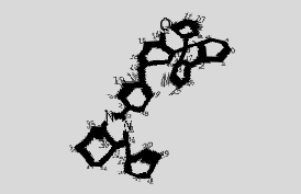 C1=CC2=C(CC1)C1(c3ccccc3Oc3ccc(-c4ccc(-c5nc(-c6ccccc6)c6ccccc6n5)cc4)cc31)c1ccccc12